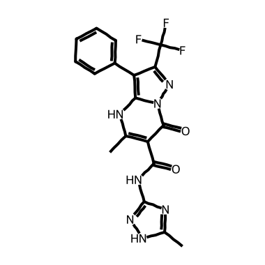 Cc1nc(NC(=O)c2c(C)[nH]c3c(-c4ccccc4)c(C(F)(F)F)nn3c2=O)n[nH]1